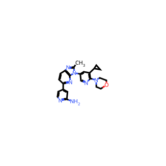 Cc1nc2ccc(-c3ccnc(N)c3)nc2n1-c1cnc(N2CCOCC2)c(C2CC2)c1